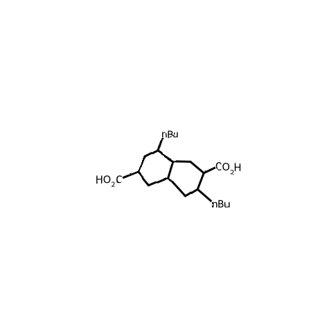 CCCCC1CC2CC(C(=O)O)CC(CCCC)C2CC1C(=O)O